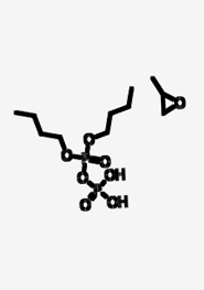 CC1CO1.CCCCOP(=O)(OCCCC)OP(=O)(O)O